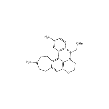 BN1CCc2cc3c(c(-c4cccc(C)c4)c2CC1)N(C(=O)COC)CCO3